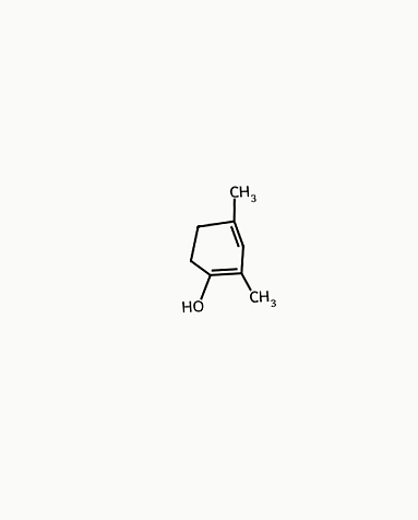 CC1=CC(C)=C(O)CC1